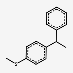 CSc1ccc(C(C)c2ccccc2)cc1